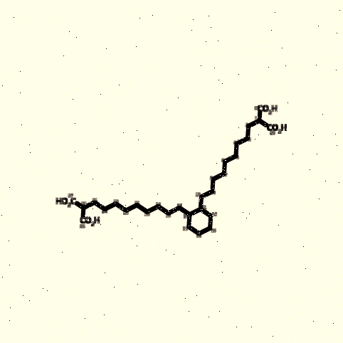 O=C(O)C(CCCCCCCCCC1CCCCC1CCCCCCCCCC(C(=O)O)C(=O)O)C(=O)O